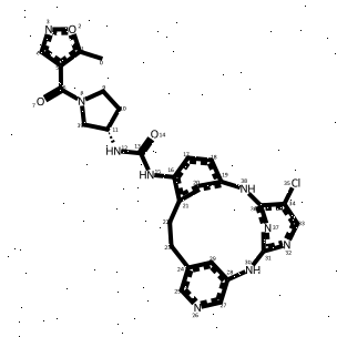 Cc1oncc1C(=O)N1CC[C@H](NC(=O)Nc2ccc3cc2CCc2cncc(c2)Nc2ncc(Cl)c(n2)N3)C1